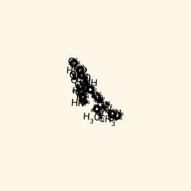 CC(C)Oc1ccccc1[C@@H]1CN([C@H]2COc3cccnc3C2)CCN1C1CC2(CCN(c3ccc(C(=O)NS(=O)(=O)c4cc5c(c([N+](=O)[O-])c4)N[C@H](C4CCOCC4)CO5)c(N4c5cc6cc[nH]c6nc5O[C@H]5COCC[C@@H]54)c3)CC2)C1